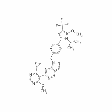 COc1ncnc(C2CC2)c1-c1ncc2cnn(Cc3ccc(-c4nc(C(F)(F)F)c(OC)n4C(C)C)cc3)c2n1